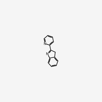 c1ccc(C2=Nc3ccccc3C2)nc1